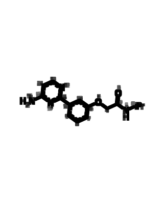 CC(C)NC(=O)COc1cccc(-c2nccc(N)n2)c1